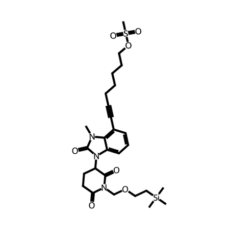 Cn1c(=O)n(C2CCC(=O)N(COCC[Si](C)(C)C)C2=O)c2cccc(C#CCCCCCOS(C)(=O)=O)c21